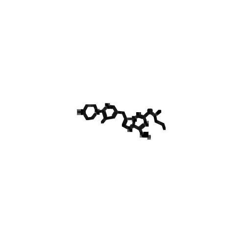 CCC[C@H](C)Oc1nc(N)c2ncc(Cc3cnc(N4CCNCC4)c(C)c3)n2n1